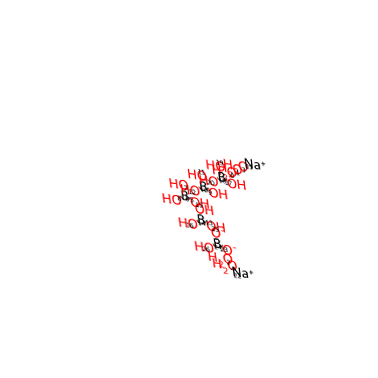 O.O.O.O.O.OB(O)O.OB(O)O.OB(O)O.OB(O)O.[Na+].[Na+].[O-]B([O-])O